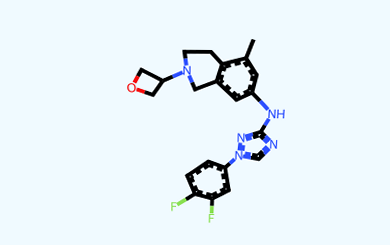 Cc1cc(Nc2ncn(-c3ccc(F)c(F)c3)n2)cc2c1CCN(C1COC1)C2